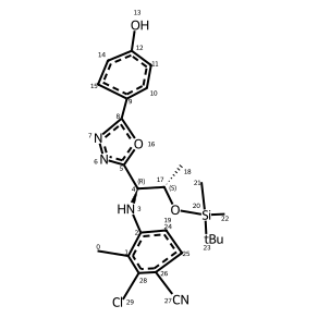 Cc1c(N[C@@H](c2nnc(-c3ccc(O)cc3)o2)[C@H](C)O[Si](C)(C)C(C)(C)C)ccc(C#N)c1Cl